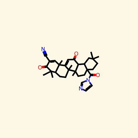 CC1(C)CCC2(C(=O)n3ccnc3)CCC3(C)C(C(=O)C=C4C5(C)C=C(C#N)C(=O)C(C)(C)C5CCC43C)C2C1